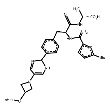 C=C(N[C@@H](Cc1ccc(C2N=CC(N3CC(OCCCCCC)C3)=CN2)cc1)C(=O)N[C@H](C)C(=O)O)c1ccc(C(C)(C)C)s1